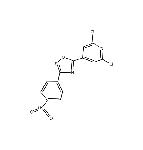 O=[SH](=O)c1ccc(-c2noc(-c3cc(Cl)nc(Cl)c3)n2)cc1